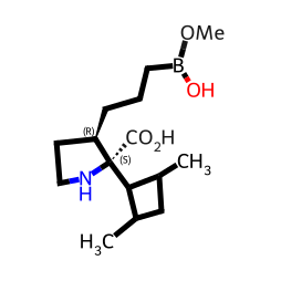 COB(O)CCC[C@@H]1CCN[C@]1(C(=O)O)C1C(C)CC1C